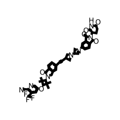 CC1(C)[C@H](Oc2cnc(C#N)c(C(F)(F)F)c2)C(C)(C)[C@H]1N1Cc2cc(C#CC3CN(C4CN(c5ccc6c(c5)C(=O)N(C5CCC(=O)NC5=O)C6=O)C4)C3)ccc2C1=O